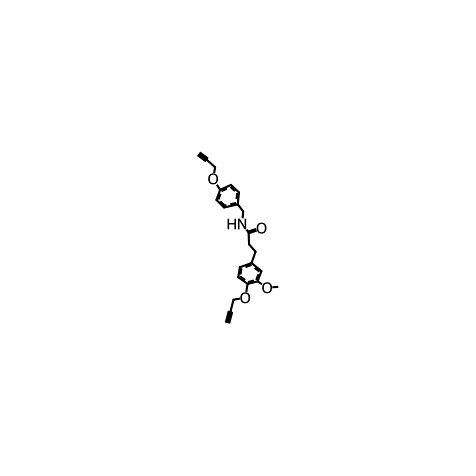 C#CCOc1ccc(CNC(=O)CCc2ccc(OCC#C)c(OC)c2)cc1